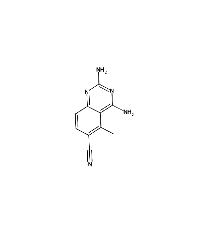 Cc1c(C#N)ccc2nc(N)nc(N)c12